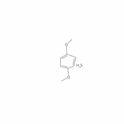 COc1ccc(OC)cc1.S